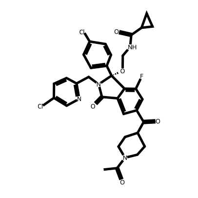 CC(=O)N1CCC(C(=O)c2cc(F)c3c(c2)C(=O)N(Cc2ccc(Cl)cn2)[C@@]3(OCNC(=O)C2CC2)c2ccc(Cl)cc2)CC1